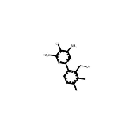 Cc1ccc(-c2cc(N)c(Cl)c(C(=O)O)n2)c(CO)c1F